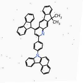 CC1(C)c2ccccc2-c2cc3c(C4c5ccccc5-c5ccccc54)cc(-c4ccc(-n5c6ccccc6c6c7ccccc7ccc65)cc4)nc3cc21